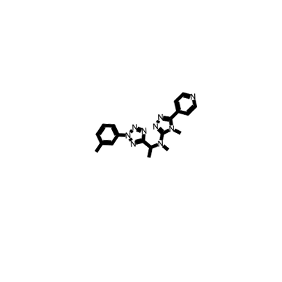 Cc1cccc(-n2nnc(C(C)N(C)c3nnc(-c4ccncc4)n3C)n2)c1